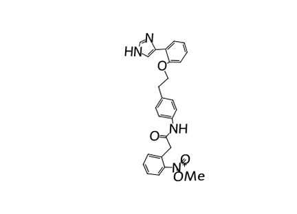 CO[N+](=O)c1ccccc1CC(=O)Nc1ccc(CCOc2ccccc2-c2c[nH]cn2)cc1